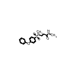 CNC(=O)CCN(C)S(=O)(=O)c1ccc(Oc2ccccc2)cc1